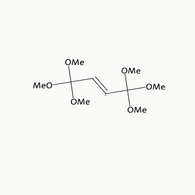 COC([C]=CC(OC)(OC)OC)(OC)OC